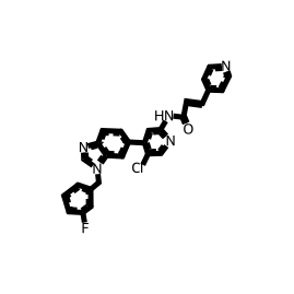 O=C(C=Cc1ccncc1)Nc1cc(-c2ccc3ncn(Cc4cccc(F)c4)c3c2)c(Cl)cn1